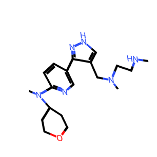 CNCCN(C)Cc1c[nH]nc1-c1ccc(N(C)C2CCOCC2)nc1